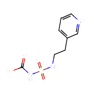 O=C(O)NS(=O)(=O)NCCc1cccnc1